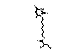 Cc1cc(=O)[nH]c(=O)n1CCCCCCOC(=O)C(CC(C)C)C(C)C